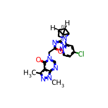 Cc1nn(C)c2ncn(Cc3nc([C@@]45C6[C@H]4[C@H]5CN6c4cc(Cl)ccn4)no3)c(=O)c12